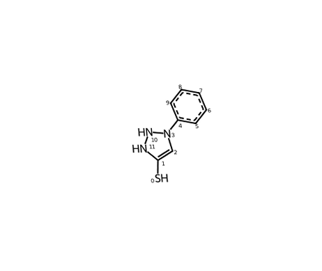 SC1=CN(c2ccccc2)NN1